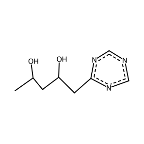 CC(O)CC(O)Cc1ncncn1